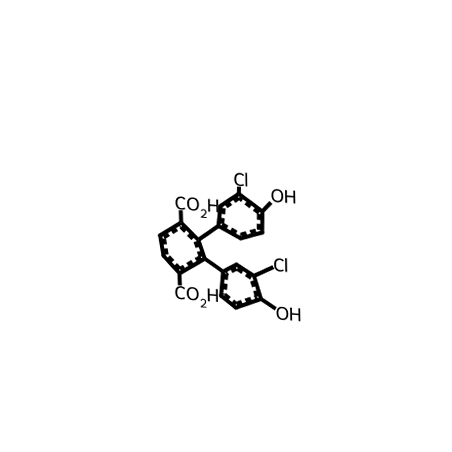 O=C(O)c1ccc(C(=O)O)c(-c2ccc(O)c(Cl)c2)c1-c1ccc(O)c(Cl)c1